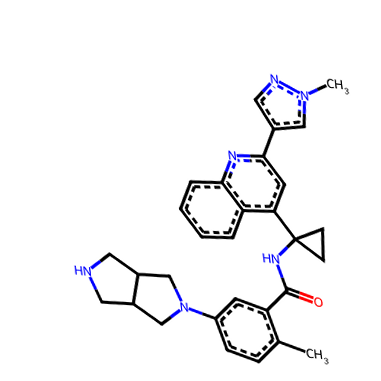 Cc1ccc(N2CC3CNCC3C2)cc1C(=O)NC1(c2cc(-c3cnn(C)c3)nc3ccccc23)CC1